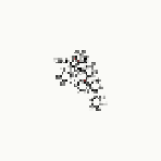 CCC1C=C(C(C)(C)C)C=[C]1[Zr](=[C](c1ccccc1)c1ccccc1)[c]1c(-c2ccccc2)ccc2c1Cc1cc(-c3ccccc3)ccc1-2